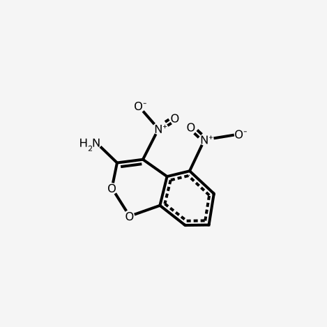 NC1=C([N+](=O)[O-])c2c(cccc2[N+](=O)[O-])OO1